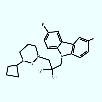 CC(O)(CN1CCCN(C2CCC2)S1)Cn1c2ccc(F)cc2c2cc(F)ccc21